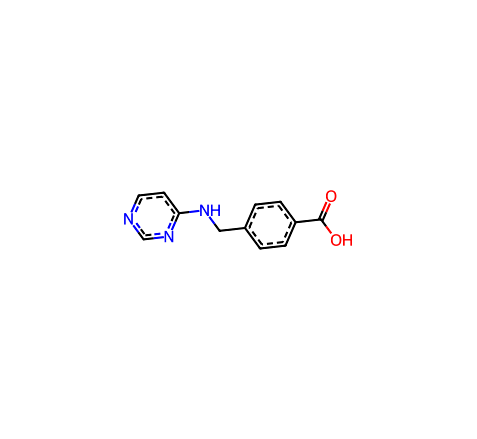 O=C(O)c1ccc(CNc2ccncn2)cc1